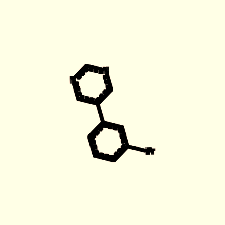 CC(C)c1cccc(-c2cncnc2)c1